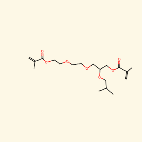 C=C(C)C(=O)OCCOCCOCC(COC(=O)C(=C)C)OCC(C)C